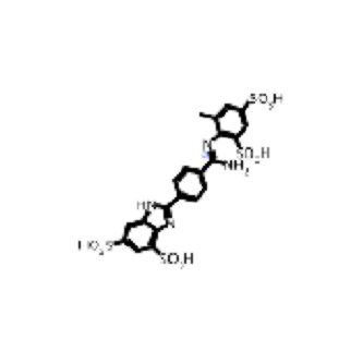 Cc1cc(S(=O)(=O)O)cc(S(=O)(=O)O)c1/N=C(\N)c1ccc(-c2nc3c(S(=O)(=O)O)cc(S(=O)(=O)O)cc3[nH]2)cc1